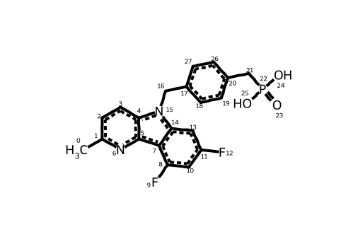 Cc1ccc2c(n1)c1c(F)cc(F)cc1n2Cc1ccc(CP(=O)(O)O)cc1